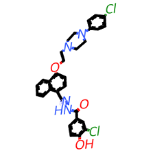 O=C(N/N=C/c1ccc(OCCN2CCN(c3ccc(Cl)cc3)CC2)c2ccccc12)c1ccc(O)c(Cl)c1